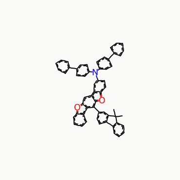 CC1(C)c2ccccc2-c2ccc(-c3c4oc5ccc(N(c6ccc(-c7ccccc7)cc6)c6ccc(-c7ccccc7)cc6)cc5c4cc4oc5ccccc5c34)cc21